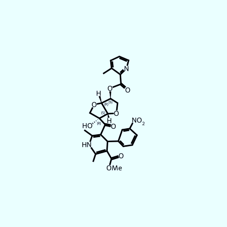 COC(=O)C1=C(C)NC(C)=C(C(=O)[C@@]2(O)CO[C@@H]3[C@@H](OC(=O)c4ncccc4C)CO[C@@H]32)C1c1cccc([N+](=O)[O-])c1